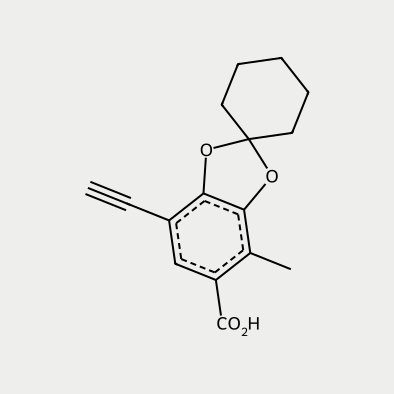 C#Cc1cc(C(=O)O)c(C)c2c1OC1(CCCCC1)O2